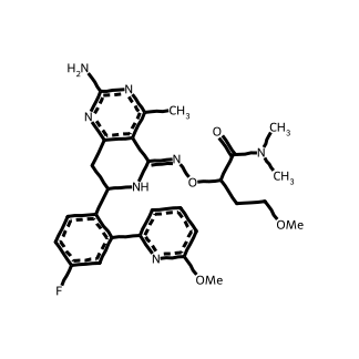 COCCC(ON=C1NC(c2ccc(F)cc2-c2cccc(OC)n2)Cc2nc(N)nc(C)c21)C(=O)N(C)C